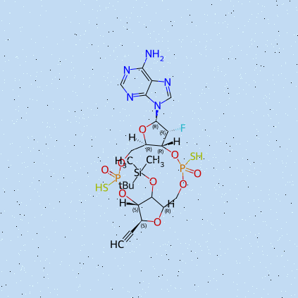 C#C[C@@H]1O[C@@H]2COP(=O)(S)O[C@H]3[C@@H](F)[C@H](n4cnc5c(N)ncnc54)O[C@@H]3COP(=O)(S)O[C@@H]1C2O[Si](C)(C)C(C)(C)C